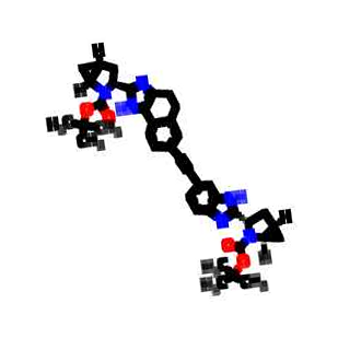 CC(C)(C)OC(=O)N1[C@@H]2C[C@@H]2C[C@H]1c1nc2c([nH]1)-c1ccc(C#Cc3ccc4nc([C@@H]5C[C@H]6C[C@H]6N5C(=O)OC(C)(C)C)[nH]c4c3)cc1CC2